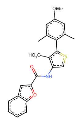 COc1cc(C)c(-c2scc(NC(=O)c3cc4ccccc4o3)c2C(=O)O)c(C)c1